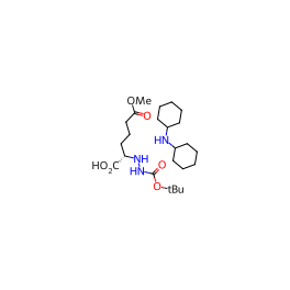 C1CCC(NC2CCCCC2)CC1.COC(=O)CCC[C@H](NNC(=O)OC(C)(C)C)C(=O)O